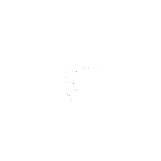 CC(C)(C)OC(=O)Nc1cccc(CCO[Si](C)(C)C(C)(C)C)n1